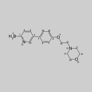 Bc1ccc(-c2ccc(OCCN3CCOCC3)cc2)cn1